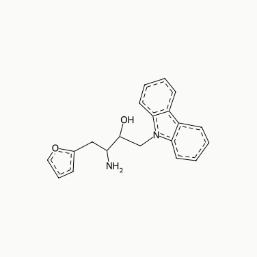 NC(Cc1ccco1)C(O)Cn1c2ccccc2c2ccccc21